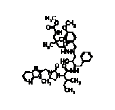 CCC(C)C(C(=O)NC(Cc1ccccc1)C(O)CN(Cc1ccc(OC)cc1)NC(=O)CC(C)(C)CNC(=O)OC)N1CCN(Cc2nc3cccnc3n2C)C1=O